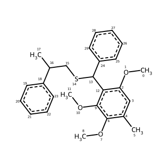 COc1cc(C)c(OC)c(OC)c1C(SCC(C)c1ccccc1)c1ccccc1